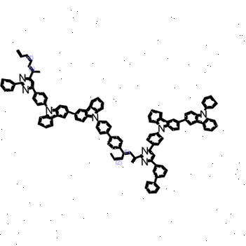 C=C/C=C\C=C(/C)c1cc(-c2ccc(-n3c4ccccc4c4cc(-c5ccc6c(c5)c5ccccc5n6-c5ccc(-c6ccc(C(/C=C\C)=C/C(=C)c7nc(-c8ccc(-n9c%10ccccc%10c%10cc(-c%11ccc%12c(c%11)c%11ccccc%11n%12-c%11ccccc%11)ccc%109)cc8)cc(-c8cccc(-c9ccccc9)c8)n7)cc6)cc5)ccc43)cc2)nc(-c2ccccc2)n1